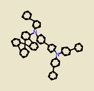 c1ccc(-c2ccc(N(c3ccc(-c4ccccc4)cc3)c3ccc(-c4ccc(N(c5cccc(-c6ccccc6)c5)c5cccc6c5-c5ccccc5C65c6ccccc6-c6ccccc65)cc4)cc3)cc2)cc1